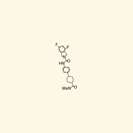 CNC(=O)C1CCC(c2ccc(NC(=O)N3Cc4cc(F)cc(F)c4C3)cc2)CC1